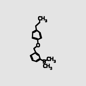 CCCc1ccc(OCc2cccc(B(C)C)c2)cc1